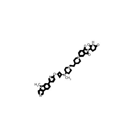 Cn1c2ccncc2c2ccc(-c3ccc(O[C@H]4C[C@H](N(C)C5CCN(CCC6CCN(c7ccc8c(c7)C(=O)N(C7CCC(=O)NC7=O)C8=O)CC6)CC5)C4)nc3)cc21